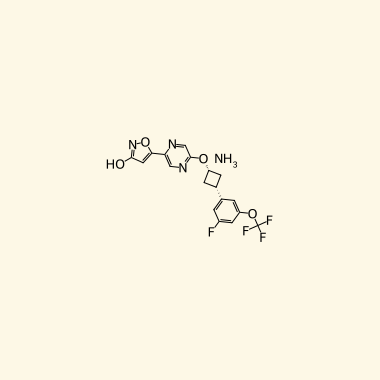 N.Oc1cc(-c2cnc(O[C@H]3C[C@@H](c4cc(F)cc(OC(F)(F)F)c4)C3)cn2)on1